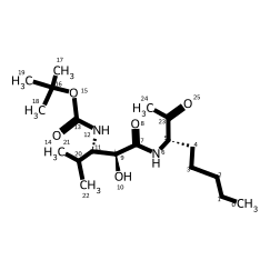 CCCCC[C@H](NC(=O)[C@@H](O)[C@@H](NC(=O)OC(C)(C)C)C(C)C)C(C)=O